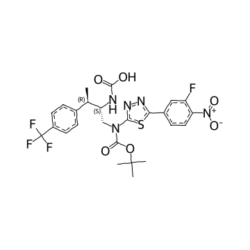 C[C@H](c1ccc(C(F)(F)F)cc1)[C@@H](CN(C(=O)OC(C)(C)C)c1nnc(-c2ccc([N+](=O)[O-])c(F)c2)s1)NC(=O)O